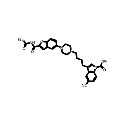 CC(C)(C)C(=O)NC(=O)c1cc2cc(N3CCN(CCCCc4cn(C(=O)C(C)(C)C)c5ccc(C#N)cc45)CC3)ccc2o1